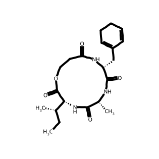 CC[C@H](C)[C@H]1NC(=O)[C@@H](C)NC(=O)[C@@H](CC2=CCCC=C2)NC(=O)CCOC1=O